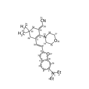 CCN(CC)c1ccc2cc(/C=C/C3=C(N4CCOCC4)C(=C/C#N)/CC(C)(C)C3)oc2c1